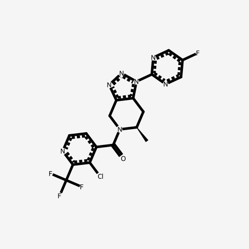 C[C@@H]1Cc2c(nnn2-c2ncc(F)cn2)CN1C(=O)c1ccnc(C(F)(F)F)c1Cl